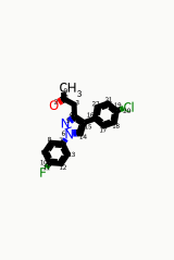 CC(=O)Cc1nn(-c2ccc(F)cc2)cc1-c1ccc(Cl)cc1